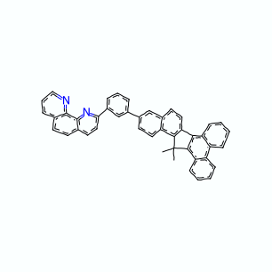 CC1(C)c2c(ccc3cc(-c4cccc(-c5ccc6ccc7cccnc7c6n5)c4)ccc23)-c2c1c1ccccc1c1ccccc21